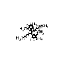 CCCCCCC[CH2][Sn]([CH2]CCCCCCC)([O]c1ccc(C)c(C)c1CCC)[O]c1ccc(C)c(C)c1CCC